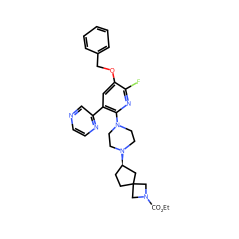 CCOC(=O)N1CC2(CC[C@@H](N3CCN(c4nc(F)c(OCc5ccccc5)cc4-c4cnccn4)CC3)C2)C1